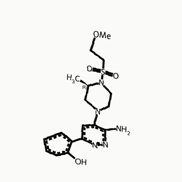 COCCS(=O)(=O)N1CCN(c2cc(-c3ccccc3O)nnc2N)C[C@H]1C